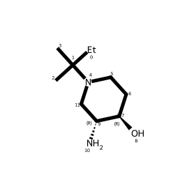 CCC(C)(C)N1CC[C@@H](O)[C@H](N)C1